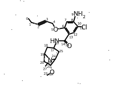 CCC#CCOc1cc(N)c(Cl)cc1C(=O)NC1CC2C[C@@H](OC)C(C1)N2C